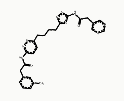 Cc1cccc(CC(=O)Nc2ccc(CCCCc3nnc(NC(=O)Cc4cncnc4)s3)nn2)c1